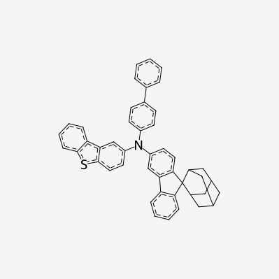 c1ccc(-c2ccc(N(c3ccc4c(c3)-c3ccccc3C43C4CC5CC(C4)CC3C5)c3ccc4sc5ccccc5c4c3)cc2)cc1